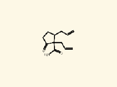 C=CCC1CCC(=O)C1(CC=C)C(N)=O